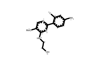 COc1cnc(-c2ccc(N)cc2F)nc1NCCO